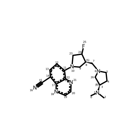 CN(C)[C@@H]1CCN(C[C@H]2CN(c3ccc(C#N)c4nccnc34)CC2F)C1